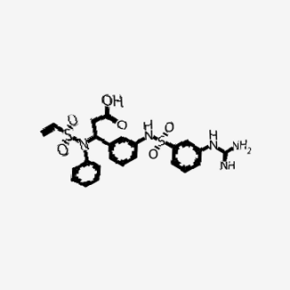 C=CS(=O)(=O)N(c1ccccc1)C(CC(=O)O)c1cccc(NS(=O)(=O)c2cccc(NC(=N)N)c2)c1